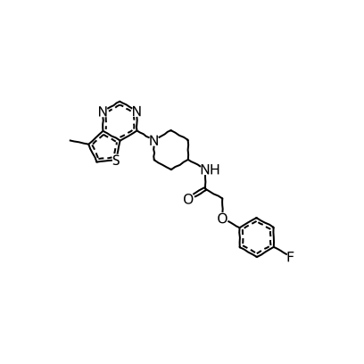 Cc1csc2c(N3CCC(NC(=O)COc4ccc(F)cc4)CC3)ncnc12